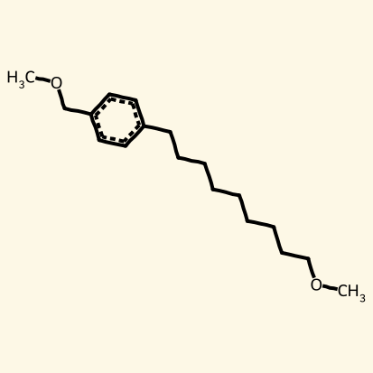 COCCCCCCCCCc1ccc(COC)cc1